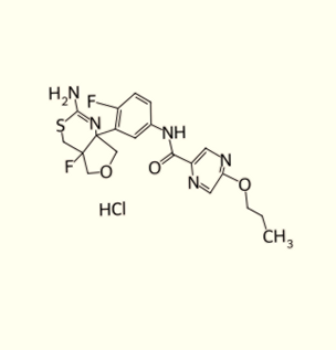 CCCOc1cnc(C(=O)Nc2ccc(F)c(C34COCC3(F)CSC(N)=N4)c2)cn1.Cl